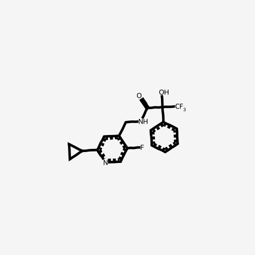 O=C(NCc1cc(C2CC2)ncc1F)C(O)(c1ccccc1)C(F)(F)F